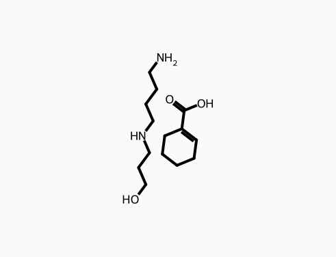 NCCCCNCCCO.O=C(O)C1=CCCCC1